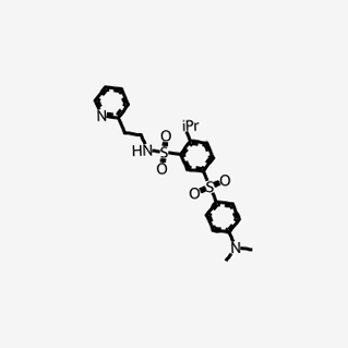 CC(C)c1ccc(S(=O)(=O)c2ccc(N(C)C)cc2)cc1S(=O)(=O)NCCc1ccccn1